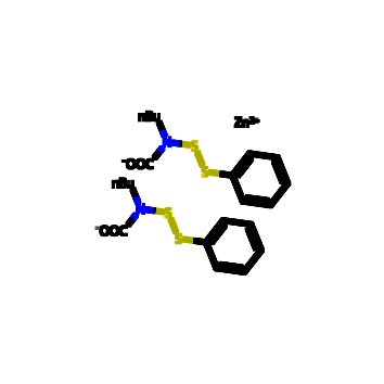 CCCCN(SSc1ccccc1)C(=O)[O-].CCCCN(SSc1ccccc1)C(=O)[O-].[Zn+2]